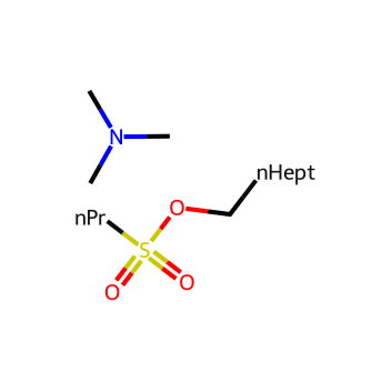 CCCCCCCCOS(=O)(=O)CCC.CN(C)C